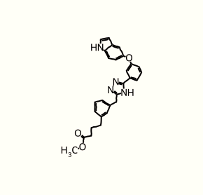 COC(=O)CCCc1cccc(Cc2nnc(-c3cccc(Oc4ccc5[nH]ccc5c4)c3)[nH]2)c1